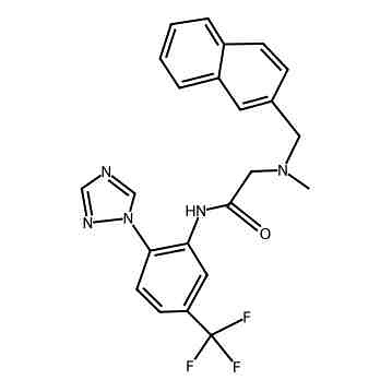 CN(CC(=O)Nc1cc(C(F)(F)F)ccc1-n1cncn1)Cc1ccc2ccccc2c1